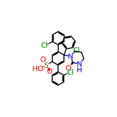 O=C1NCCCN1C1(c2ccccc2Cl)C=C(c2ccccc2Cl)C(S(=O)(=O)O)C=C1c1ccccc1Cl